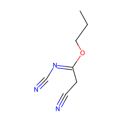 CCCOC(CC#N)=NC#N